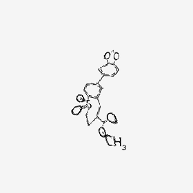 COC(=O)C1=Cc2cc(-c3ccc4c(c3)OCO4)ccc2S(=O)(=O)CC1